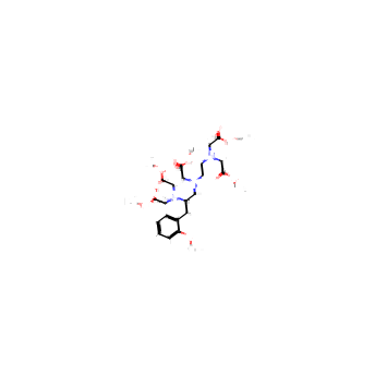 CCCCOc1ccccc1CC(CN(CCN(CC(=O)OC(C)(C)C)CC(=O)OC(C)(C)C)CC(=O)OC(C)(C)C)N(CC(=O)OC(C)(C)C)CC(=O)OC(C)(C)C